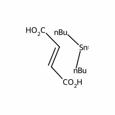 CCC[CH2][Sn][CH2]CCC.O=C(O)C=CC(=O)O